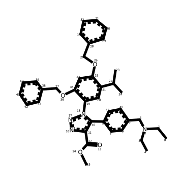 CCN(CC)Cc1ccc(-c2c(C(=O)OC)nnn2-c2cc(C(C)C)c(OCc3ccccc3)cc2OCc2ccccc2)cc1